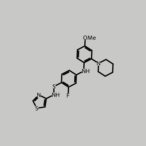 COc1ccc(Nc2ccc(SNc3cscn3)c(F)c2)c(N2CCCCC2)c1